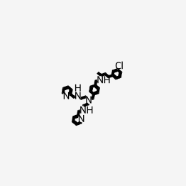 CC(CCc1cccc(Cl)c1)NCc1ccc(CN(CCNCc2ccccn2)CCNCc2ccccn2)cc1